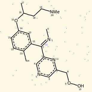 C/N=C(/c1cncc(COO)n1)c1cc(OC(C)CCNC)ccc1C